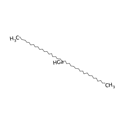 CCCCCCCCCCCCCCCCCCC[CH2][GaH][CH2]CCCCCCCCCCCCCCCCCCC